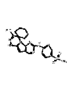 NS(=O)(=O)c1ccc(Nc2ncc3cc4n(c3n2)C2(CCCCC2)C(C(F)(F)F)=NN4)nc1